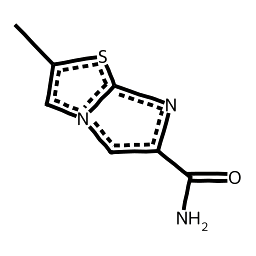 Cc1cn2cc(C(N)=O)nc2s1